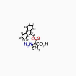 CC(N)[C@H](C(=O)O)C(=O)OCC1c2ccccc2-c2ccccc21